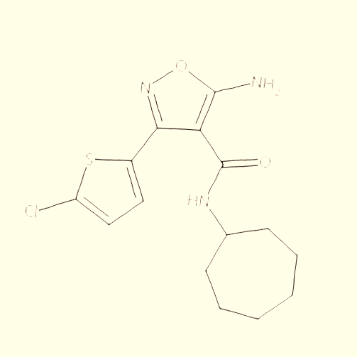 Nc1onc(-c2ccc(Cl)s2)c1C(=O)NC1CCCCCC1